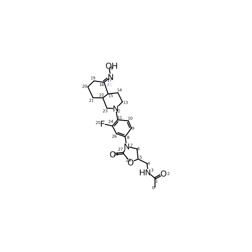 CC(=O)NCC1CN(c2ccc(N3CCC4/C(=N/O)CCCC4C3)c(F)c2)C(=O)O1